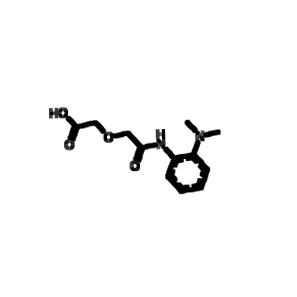 CN(C)c1ccccc1NC(=O)COCC(=O)O